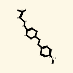 COc1ccc(CCC2CC=C(CCC=C(C)C)CC2)cc1